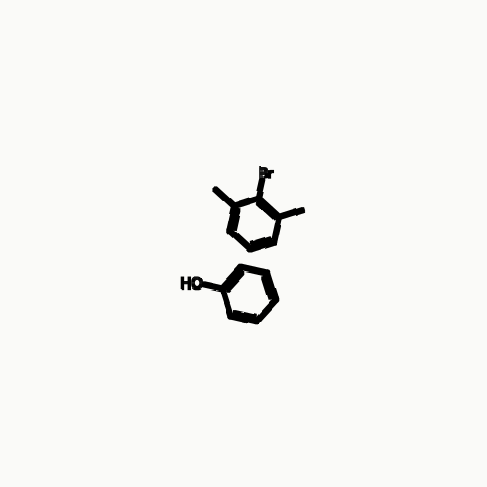 Cc1cccc(C)c1Br.Oc1ccccc1